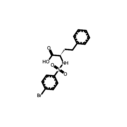 O=C(O)[C@H](CCc1ccccc1)NS(=O)(=O)c1ccc(Br)cc1